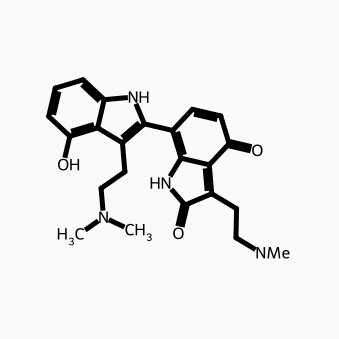 CNCCC1=C2C(=O)C=CC(c3[nH]c4cccc(O)c4c3CCN(C)C)=C2NC1=O